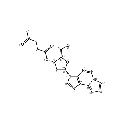 CC(=O)CCC(=O)O[C@H]1C[C@H](n2cnc3c2ncn2ncnc32)O[C@@H]1CO